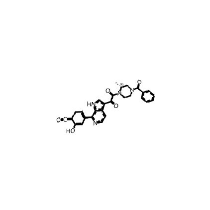 C[C@@H]1CN(C(=O)c2ccccc2)CCN1C(=O)C(=O)c1c[nH]c2c(C3=CCC(=C=O)C(O)=C3)nccc12